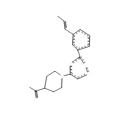 NC(=O)C1CCN(c2cncc(-c3cccc(C=CC(=O)O)c3)n2)CC1